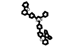 C1=CCC2Oc3ccc(-c4ccc(-c5nc(-c6ccccc6)cc(-c6ccc(C7=CCCc8c7oc7ccccc87)cc6)n5)cc4)cc3C3(C2=C1)c1ccccc1-c1ccccc13